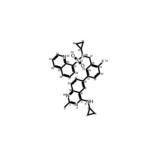 Cc1nc(NC2CC2)c2cc(-c3ccc(F)c(CN(C4CC4)S(=O)(=O)c4cccc5cccnc45)c3)ccc2n1